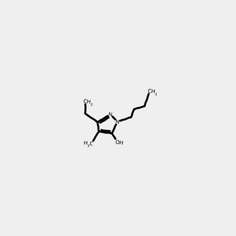 CCCCn1nc(CC)c(C)c1O